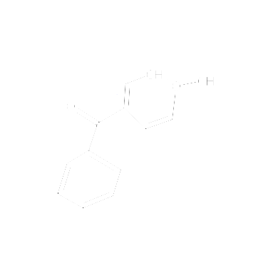 C/C=C(\C=C/OC)C(=O)c1ccccc1